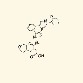 CN(C(=O)C(CC(=O)O)CC1CCOCC1)c1nc(-c2ccccc2-c2ccc(N3CCCCC3=O)nc2)c(F)s1